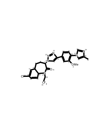 COc1cc(-c2cn([C@@H]3CCC4C=C(Cl)C=CC4N(CC(F)(F)F)C3=O)nn2)ccc1-n1cnc(C)c1